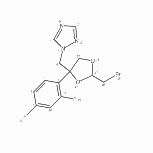 Fc1ccc(C2(Cn3cncn3)COC(CBr)O2)c(F)c1